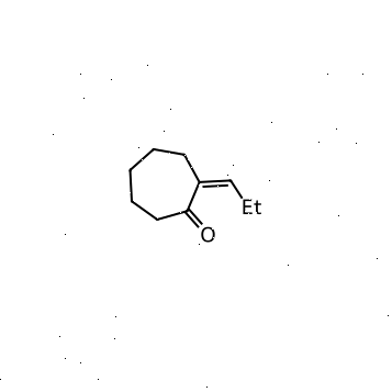 CCC=C1CCCCCC1=O